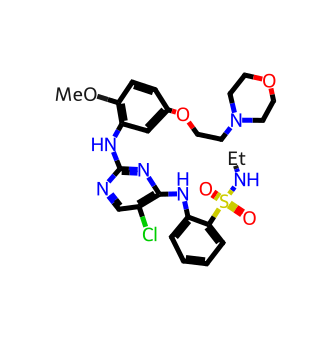 CCNS(=O)(=O)c1ccccc1Nc1nc(Nc2cc(OCCN3CCOCC3)ccc2OC)ncc1Cl